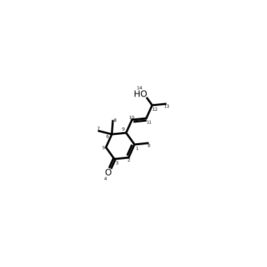 CC1=CC(=O)CC(C)(C)C1C=CC(C)O